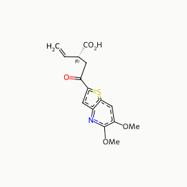 C=C[C@@H](CC(=O)c1cc2nc(OC)c(OC)cc2s1)C(=O)O